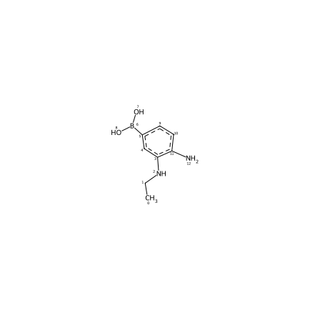 CCNc1cc(B(O)O)ccc1N